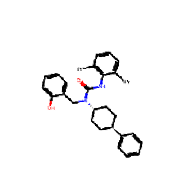 CC(C)c1cccc(C(C)C)c1NC(=O)N(Cc1ccccc1O)[C@H]1CC[C@H](c2ccccc2)CC1